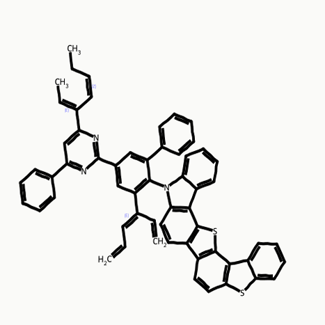 C=C/C=C(\C=C)c1cc(-c2nc(C(/C=C\CC)=C/C)cc(-c3ccccc3)n2)cc(-c2ccccc2)c1-n1c2ccccc2c2c3sc4c(ccc5sc6ccccc6c54)c3ccc21